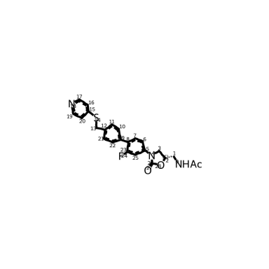 CC(=O)NC[C@H]1CN(c2ccc(-c3ccc(CSc4ccncc4)cc3)c(F)c2)C(=O)O1